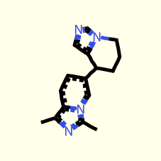 Cc1nc(C)n2cc(C3CCCn4cncc43)ccc12